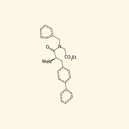 CCOC(=O)CN(Cc1ccccc1)C(=O)[C@@H](Cc1ccc(-c2ccccc2)cc1)NC